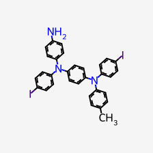 Cc1ccc(N(c2ccc(I)cc2)c2ccc(N(c3ccc(N)cc3)c3ccc(I)cc3)cc2)cc1